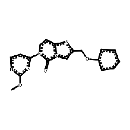 COc1nccc(-n2ccc3nc(COc4ccccc4)cn3c2=O)n1